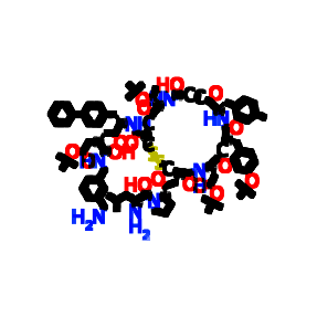 Cc1ccc(C[C@@H]2NC(=O)[C@H](Cc3ccc(OC(C)(C)C)cc3)CC(=O)[C@H](CC(=O)OC(C)(C)C)NC(=O)[C@@H](CC(=O)[C@@H]3CCCN3[C@H](O)[C@@H](N)CC(C)C)CSSC[C@@H](C(=O)N[C@@H](Cc3ccc(-c4ccccc4)cc3)C(=O)C[C@@H](CC(=O)OC(C)(C)C)[C@@H](O)NCc3cccc(CN)c3)CC(=O)[C@H](C(C)OC(C)(C)C)N[C@H](O)CCC2=O)cc1